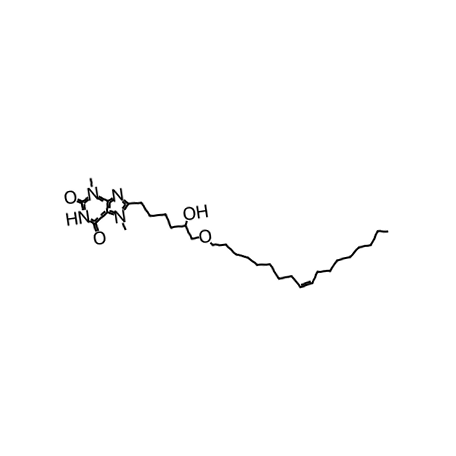 CCCCCCCC/C=C\CCCCCCCCOCC(O)CCCCc1nc2c(c(=O)[nH]c(=O)n2C)n1C